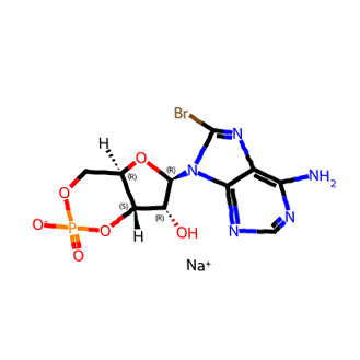 Nc1ncnc2c1nc(Br)n2[C@@H]1O[C@@H]2COP(=O)([O-])O[C@H]2[C@H]1O.[Na+]